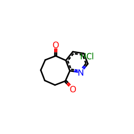 Cl.O=C1CCCCC(=O)c2ncccc21